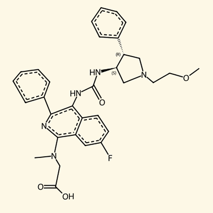 COCCN1C[C@@H](NC(=O)Nc2c(-c3ccccc3)nc(N(C)CC(=O)O)c3cc(F)ccc23)[C@H](c2ccccc2)C1